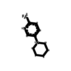 FC(F)(F)c1ccc(N2CCCCC2)cn1